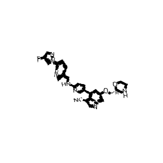 N#Cc1cnn2cc(OC[C@H]3CNCCO3)cc(-c3ccc(NCc4ccc(-n5cc(F)cn5)nc4)nc3)c12